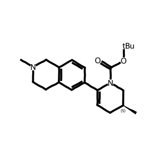 C[C@H]1CC=C(c2ccc3c(c2)CCN(C)C3)N(C(=O)OC(C)(C)C)C1